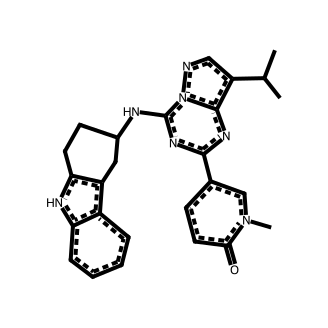 CC(C)c1cnn2c(NC3CCc4[nH]c5ccccc5c4C3)nc(-c3ccc(=O)n(C)c3)nc12